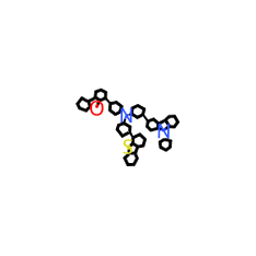 c1ccc(-n2c3ccccc3c3cc(-c4cccc(N(c5ccc(-c6cccc7c6oc6ccccc67)cc5)c5cccc(-c6cccc7c6sc6ccccc67)c5)c4)ccc32)cc1